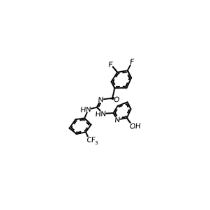 O=C(/N=C(/Nc1cccc(C(F)(F)F)c1)Nc1cccc(O)n1)c1ccc(F)c(F)c1